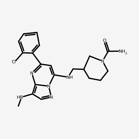 CBc1cnn2c(NCC3CCCN(C(N)=O)C3)cc(-c3ccccc3Cl)nc12